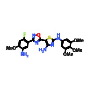 COc1cc(F)c(-c2noc(-c3sc(Nc4cc(OC)c(OC)c(OC)c4)nc3N)n2)cc1N